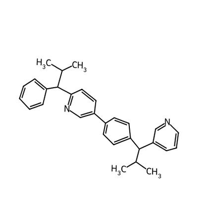 CC(C)C(c1ccc(-c2ccc(C(c3ccccc3)C(C)C)nc2)cc1)c1cccnc1